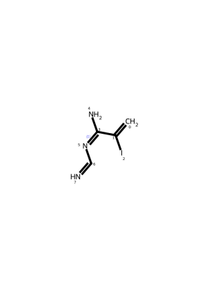 C=C(I)/C(N)=N\C=N